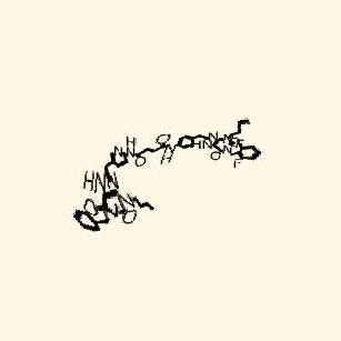 CCCCn1c(=O)n(Cc2ccccc2)c(=O)c2[nH]c(Cc3ccc(NC(=O)CCC(=O)Nc4ccc(Cc5nc6c([nH]5)c(=O)n(Cc5c(F)cccc5F)c(=O)n6CCCC)cc4)nc3)nc21